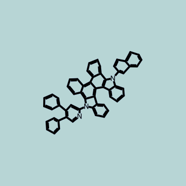 c1ccc(-c2cnc(-n3c4ccccc4c4c5c(c6ccccc6c6c5c5ccccc5n6-c5ccc6ccccc6c5)c5ccccc5c43)cc2-c2ccccc2)cc1